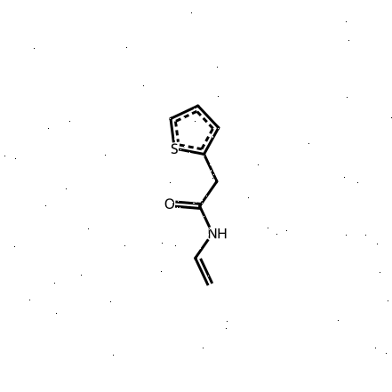 C=CNC(=O)Cc1cccs1